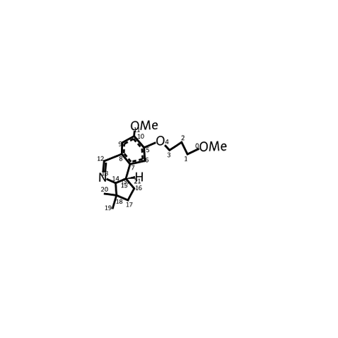 COCCCOc1cc2c(cc1OC)C=NC1[C@H]2CCC1(C)C